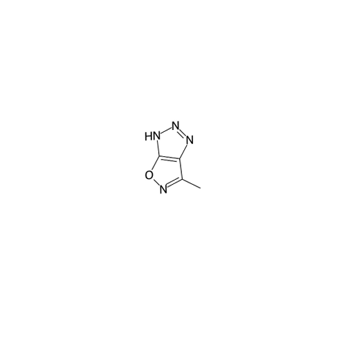 Cc1noc2[nH]nnc12